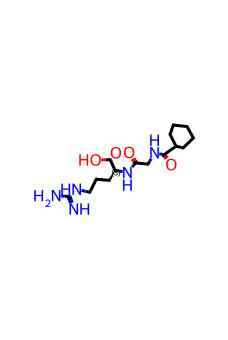 N=C(N)NCCC[C@H](NC(=O)CNC(=O)C1CCCCC1)C(=O)O